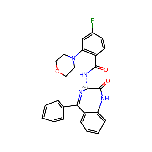 O=C(N[C@H]1N=C(c2ccccc2)c2ccccc2NC1=O)c1ccc(F)cc1N1CCOCC1